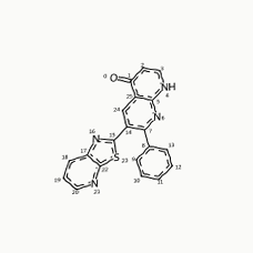 O=c1cc[nH]c2nc(-c3ccccc3)c(-c3nc4cccnc4s3)cc12